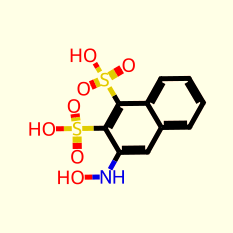 O=S(=O)(O)c1c(NO)cc2ccccc2c1S(=O)(=O)O